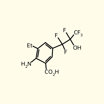 CCc1cc(C(F)(F)C(O)(F)C(F)(F)F)cc(C(=O)O)c1N